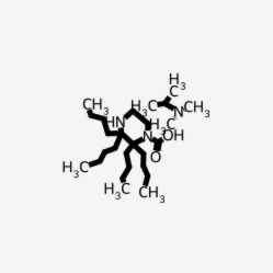 CC(C)N(C)C.CCCCC1(CCCC)NCCN(C(=O)O)C1(CCCC)CCCC